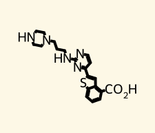 O=C(O)c1cccc2sc(-c3ccnc(NCCCN4CCNCC4)n3)cc12